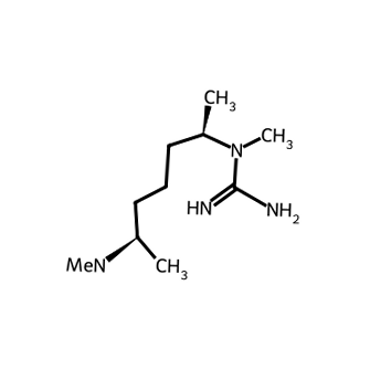 CN[C@H](C)CCC[C@@H](C)N(C)C(=N)N